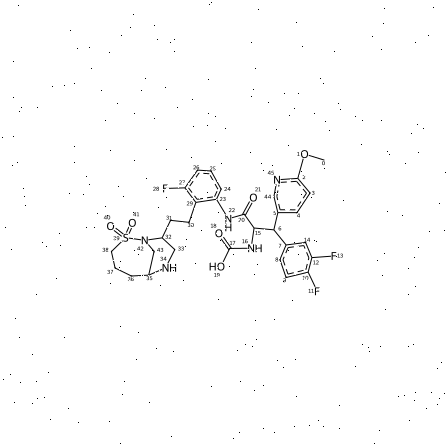 COc1ccc(C(c2ccc(F)c(F)c2)C(NC(=O)O)C(=O)Nc2cccc(F)c2CCC2CNC3CCCS(=O)(=O)N2C3)cn1